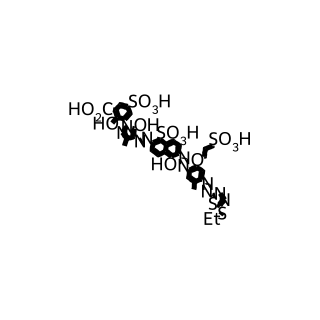 CCSc1nnc(N=Nc2cc(OCCCS(=O)(=O)O)c(N=Nc3ccc4c(S(=O)(=O)O)c(N=Nc5c(C)nn(-c6cc(S(=O)(=O)O)cc(C(=O)O)c6O)c5O)ccc4c3O)cc2C)s1